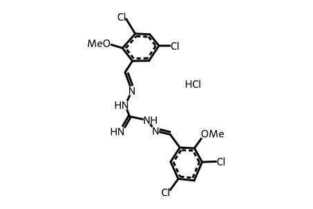 COc1c(Cl)cc(Cl)cc1/C=N/NC(=N)N/N=C/c1cc(Cl)cc(Cl)c1OC.Cl